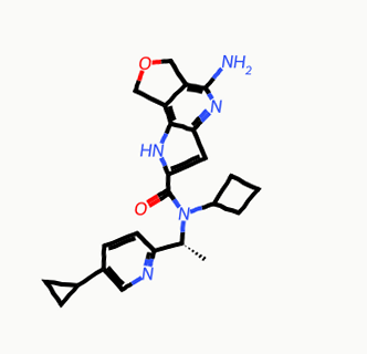 C[C@H](c1ccc(C2CC2)cn1)N(C(=O)c1cc2nc(N)c3c(c2[nH]1)COC3)C1CCC1